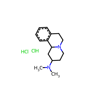 CN(C)C1CCN2CCc3ccccc3C2C1.Cl.Cl